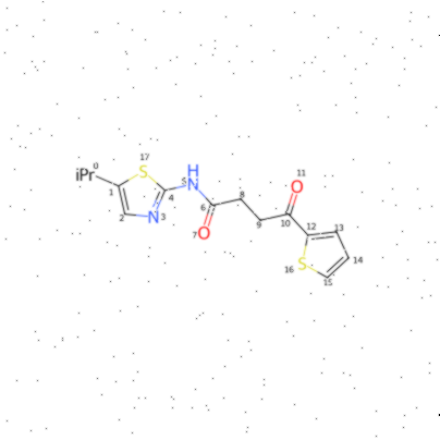 CC(C)c1cnc(NC(=O)CCC(=O)c2cccs2)s1